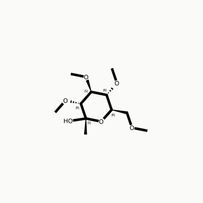 COC[C@H]1O[C@](C)(O)[C@H](OC)[C@@H](OC)[C@@H]1OC